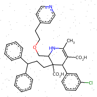 CC1=C(C(=O)O)C(c2cccc(Cl)c2)C(CCC(c2ccccc2)c2ccccc2)(C(=O)O)C(COCCc2ccncc2)N1